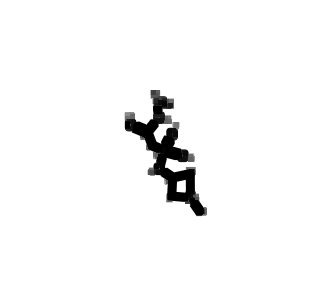 CN1CC(OS(=O)(=O)CC(=O)OC(C)(C)C)C1